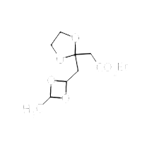 CCOC(=O)CC1(CC2OC(C)O2)OCCO1